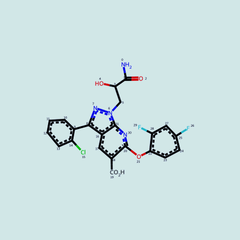 NC(=O)C(O)Cn1nc(-c2ccccc2Cl)c2cc(C(=O)O)c(Oc3ccc(F)cc3F)nc21